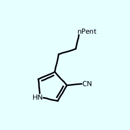 CCCCCCCc1c[nH]cc1C#N